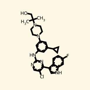 CC(C)(CO)N1CCN(c2cc(Nc3ncc(Cl)c(-c4c[nH]c5cc(F)ccc45)n3)cc(C3CC3)c2)CC1